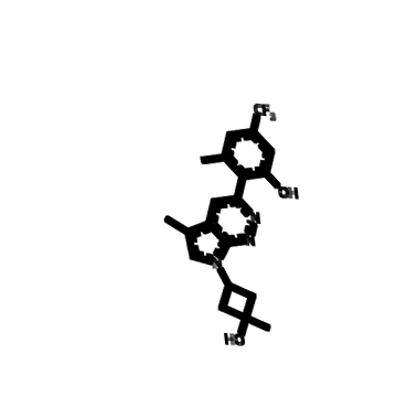 Cc1cc(C(F)(F)F)cc(O)c1-c1cc2c(C)cn(C3CC(C)(O)C3)c2nn1